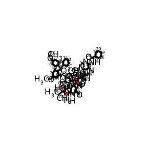 COc1ccc(C(OC[C@H]2O[C@@](C[C@]34CO[C@@H]([C@H](n5cnc6c(NC(=O)c7ccccc7)ncnc65)O3)[C@@H]4O[Si](C)(C)C(C)(C)C)(n3cnc4c(=O)[nH]c(NC(=O)C(C)C)nc43)[C@H](OP(O)O)[C@H]2F)(c2ccccc2)c2ccc(OC)cc2)cc1